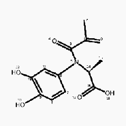 C=C(C)C(=O)N(c1ccc(O)c(O)c1)[C@@H](C)C(=O)O